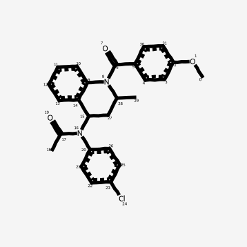 COc1ccc(C(=O)N2c3ccccc3C(N(C(C)=O)c3ccc(Cl)cc3)CC2C)cc1